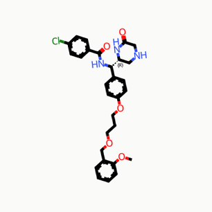 COc1ccccc1COCCCOc1ccc(C(NC(=O)c2ccc(Cl)cc2)[C@H]2CNCC(=O)N2)cc1